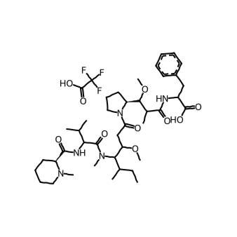 CCC(C)C(C(CC(=O)N1CCC[C@H]1C(OC)C(C)C(=O)NC(Cc1ccccc1)C(=O)O)OC)N(C)C(=O)C(NC(=O)[C@@H]1CCCCN1C)C(C)C.O=C(O)C(F)(F)F